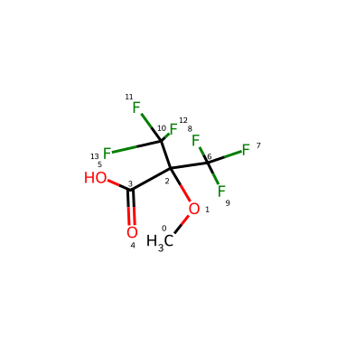 COC(C(=O)O)(C(F)(F)F)C(F)(F)F